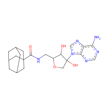 Nc1ncnc2c1ncn2C1(O)COC(CNC(=O)C23CC4CC(CC(C4)C2)C3)C1O